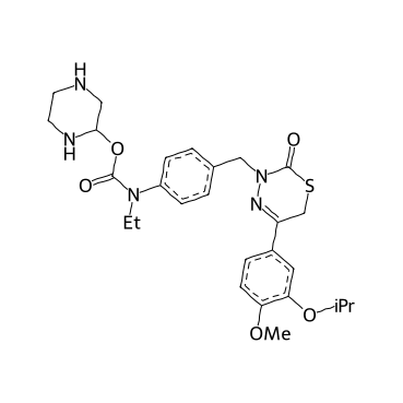 CCN(C(=O)OC1CNCCN1)c1ccc(CN2N=C(c3ccc(OC)c(OC(C)C)c3)CSC2=O)cc1